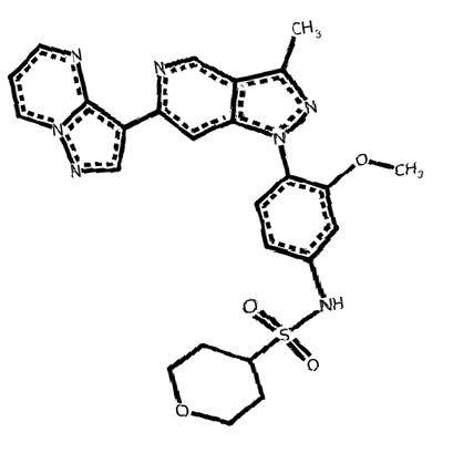 COc1cc(NS(=O)(=O)C2CCOCC2)ccc1-n1nc(C)c2cnc(-c3cnn4cccnc34)cc21